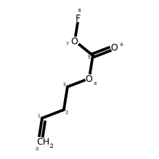 C=CCCOC(=O)OF